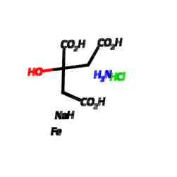 Cl.N.O=C(O)CC(O)(CC(=O)O)C(=O)O.[Fe].[NaH]